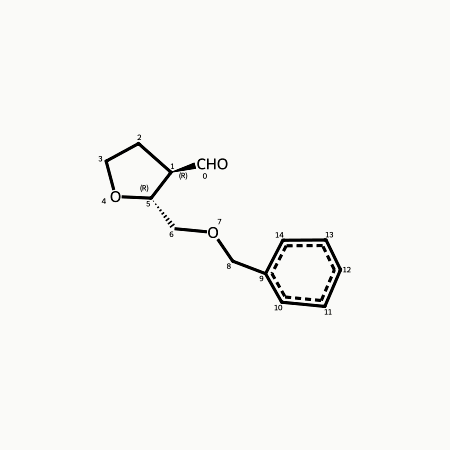 O=C[C@@H]1CCO[C@H]1COCc1ccccc1